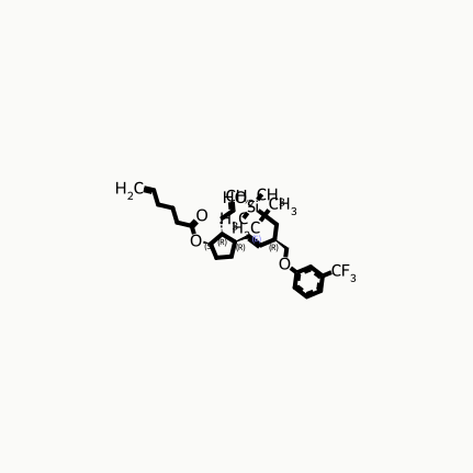 C=CCCCC(=O)O[C@H]1CC[C@H](/C=C/[C@H](COc2cccc(C(F)(F)F)c2)CC(C)(C)[Si](C)(C)O)[C@H]1CC=C